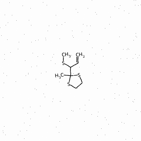 C=CC(SC)C1(C)SCCS1